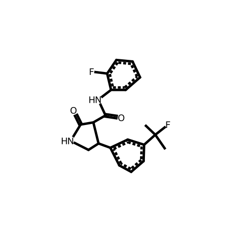 CC(C)(F)c1cccc(C2CNC(=O)C2C(=O)Nc2ccccc2F)c1